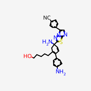 N#Cc1ccc(-c2cnc3sc(C4(N)C=CC(c5ccc(N)cc5)=C(CCCCCO)C4)nn23)cc1